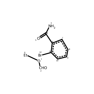 CCOC=O.NC(=O)c1ccccc1Br